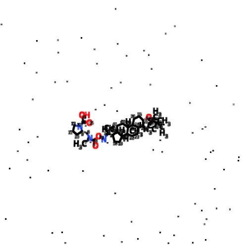 C/C(=N\OC(=O)N(C)C[C@@H]1CCCN1C(=O)O)[C@H]1CC[C@H]2[C@@H]3CCC4C[C@@H](O[Si](C)(C)C(C)(C)C)CC[C@]4(C)[C@H]3CC[C@]12C